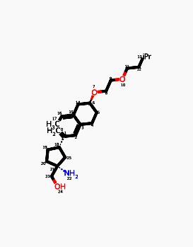 C=C(/C=C1/CC[C@H](OCCOCCC(C)C)C/C1=C/C)[C@H]1CC[C@](N)(CO)C1